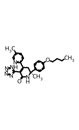 CCCCOc1ccc([C@]2(C)CC(c3ccc(C)cn3)=C(c3nnn[nH]3)C(=O)N2)cc1